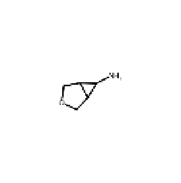 NC1C2COCC12